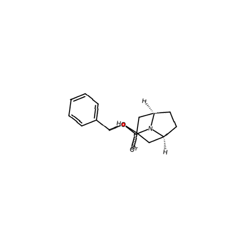 CC(C)[C@]1(O)C[C@H]2CC[C@@H](C1)N2C(=O)OCc1ccccc1